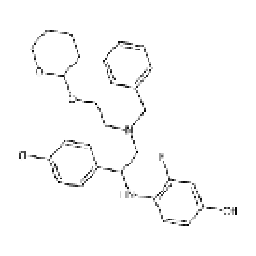 Oc1ccc(NC(CN(CCOC2CCCCO2)Cc2ccccc2)c2ccc(Cl)cc2)c(F)c1